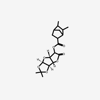 CC1C2CC(C(=O)OC3C(=O)O[C@@H]4[C@H]5OC(C)(C)O[C@H]5O[C@H]34)C(C2)C1C